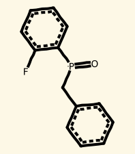 O=[P](Cc1ccccc1)c1ccccc1F